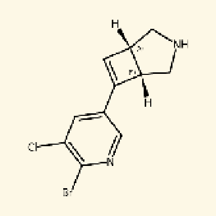 Clc1cc(C2=C[C@@H]3CNC[C@H]23)cnc1Br